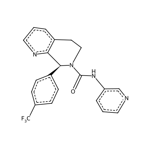 O=C(Nc1cccnc1)N1CCc2cccnc2[C@@H]1c1ccc(C(F)(F)F)cc1